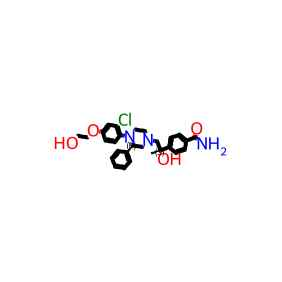 C[C@@](O)(CN1CCN(c2ccc(OCCO)cc2Cl)[C@H](c2ccccc2)C1)c1ccc(C(N)=O)cc1